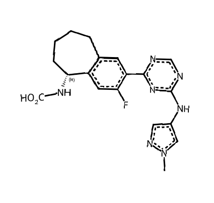 Cn1cc(Nc2ncnc(-c3cc4c(cc3F)[C@H](NC(=O)O)CCCC4)n2)cn1